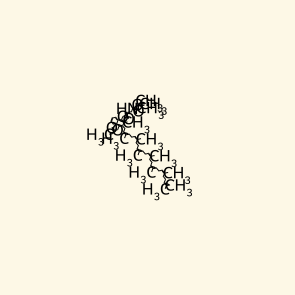 CCC(=O)Oc1c(CC=C(C)CCC=C(C)CCC=C(C)CCC=C(C)CCC=C(C)CCC=C(C)CCC=C(C)C)c(C)c(OC(=O)CCNC(=O)OC(C)(C)C)c2ccccc12